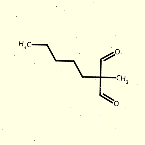 CCCCCC(C)(C=O)C=O